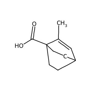 CC1=CC2CCC1(C(=O)O)CC2